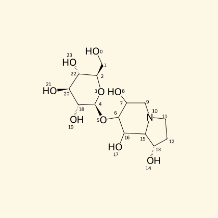 OC[C@H]1O[C@@H](OC2C(O)CN3CC[C@H](O)C3C2O)[C@H](O)[C@@H](O)[C@@H]1O